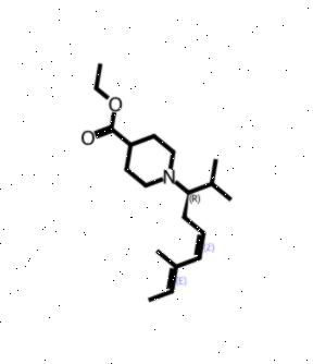 C/C=C(C)/C=C\C[C@H](C(C)C)N1CCC(C(=O)OCC)CC1